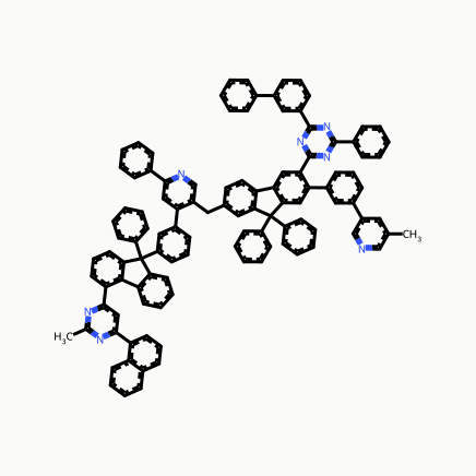 Cc1cncc(-c2cccc(-c3cc4c(cc3-c3nc(-c5ccccc5)nc(-c5cccc(-c6ccccc6)c5)n3)-c3ccc(Cc5cnc(-c6ccccc6)cc5-c5cccc(C6(c7ccccc7)c7ccccc7-c7c(-c8cc(-c9cccc%10ccccc9%10)nc(C)n8)cccc76)c5)cc3C4(c3ccccc3)c3ccccc3)c2)c1